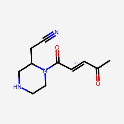 CC(=O)/C=C/C(=O)N1CCNCC1CC#N